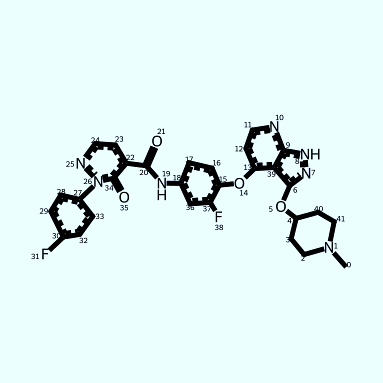 CN1CCC(Oc2n[nH]c3nccc(Oc4ccc(NC(=O)c5ccnn(-c6ccc(F)cc6)c5=O)cc4F)c23)CC1